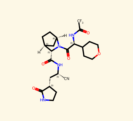 N#C[C@H](C[C@@H]1CCNC1=O)NC(=O)[C@@H]1[C@H]2CC[C@H](C2)N1C(=O)[C@@H](NC(=O)C(F)(F)F)C1CCOCC1